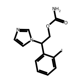 NC(=O)OCC(c1ccccc1I)n1ccnc1